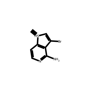 C#[SH]1C=C(Br)c2c1ccnc2N